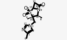 Cc1cn(C[C@@]2(C)[C@H](C)N3C(=O)CC3S2(=O)=O)cn1